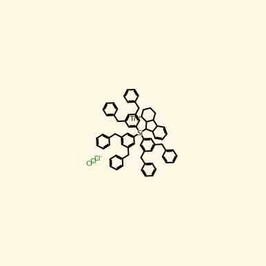 [Cl-].[Cl-].[Cl-].[Ti+3][CH]1CCCC2C3C=CC=CC3C([Si](c3cc(Cc4ccccc4)cc(Cc4ccccc4)c3)(c3cc(Cc4ccccc4)cc(Cc4ccccc4)c3)c3cc(Cc4ccccc4)cc(Cc4ccccc4)c3)C12